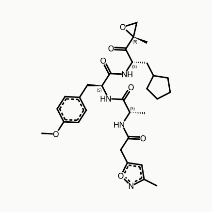 COc1ccc(C[C@H](NC(=O)[C@H](C)NC(=O)Cc2cc(C)no2)C(=O)N[C@@H](CC2CCCC2)C(=O)[C@@]2(C)CO2)cc1